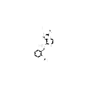 CNc1nnc2c(NCc3ccccc3OC)nccn12